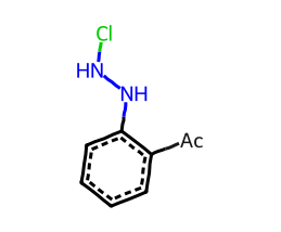 CC(=O)c1ccccc1NNCl